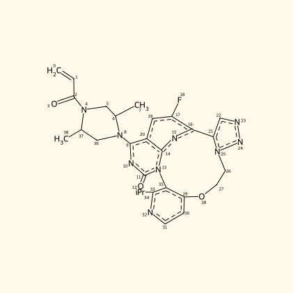 C=CC(=O)N1CC(C)N(c2nc(=O)n3c4nc(c(F)cc24)-c2cnnn2CCOc2ccnc(C(C)C)c2-3)CC1C